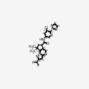 CC1(C)CC(C(=O)Nc2cnc(-n3nccn3)c(Cl)c2)c2cnc3cc(C(F)F)nn3c21